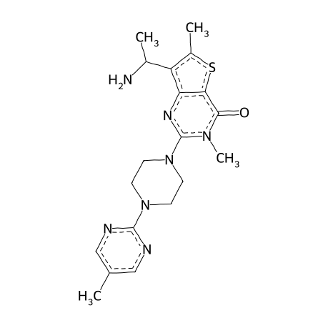 Cc1cnc(N2CCN(c3nc4c(C(C)N)c(C)sc4c(=O)n3C)CC2)nc1